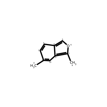 Cc1ccc2[c]oc(C)c2c1